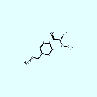 COC[C@H]1CC[C@H](C(=O)N(C)OC)CC1